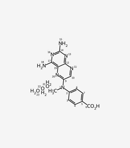 CN(c1ccc(C(=O)O)cc1)c1cnc2nc(N)nc(N)c2n1.O.O.O